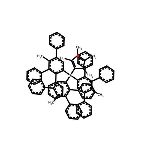 CC1=C(C)C(C)C([Si](c2cc(-c3ccccc3)c(C)c(-c3ccccc3)c2-c2ccccc2)(c2cc(-c3ccccc3)c(C)c(-c3ccccc3)c2-c2ccccc2)c2cc(-c3ccccc3)c(C)c(-c3ccccc3)c2-c2ccccc2)=C1C